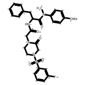 COc1ccc(N(C)C(=O)C(Cc2ccccc2)NC(=O)CN2CCN(S(=O)(=O)c3cccc(F)c3)CC2=O)cc1